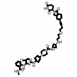 CNC(=O)c1ccccc1Nc1nc(Nc2ccc(N3CCN(C(=O)N[C@H]4C[C@H](NCCCOCCC#Cc5ccc6c(c5)CN(C5CCC(=O)NC5=O)C6=O)C4)CC3)cc2)ncc1Cl